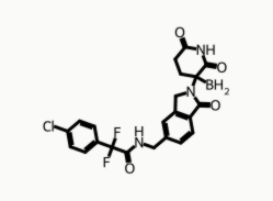 BC1(N2Cc3cc(CNC(=O)C(F)(F)c4ccc(Cl)cc4)ccc3C2=O)CCC(=O)NC1=O